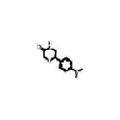 CN(C)c1ccc(C2CNC(=O)CO2)cc1